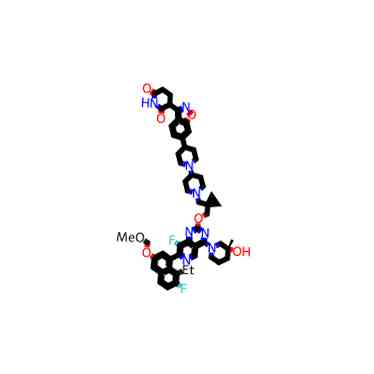 CCc1c(F)ccc2cc(OCOC)cc(-c3ncc4c(N5CCC[C@@](C)(O)C5)nc(OCC5(CN6CCC(N7CCC(c8ccc9c(C%10CCC(=O)NC%10=O)noc9c8)CC7)CC6)CC5)nc4c3F)c12